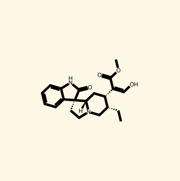 CC[C@@H]1CN2CC[C@]3(C(=O)Nc4ccccc43)[C@@H]2C[C@@H]1/C(=C/O)C(=O)OC